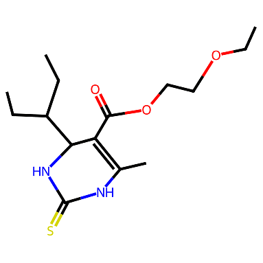 CCOCCOC(=O)C1=C(C)NC(=S)NC1C(CC)CC